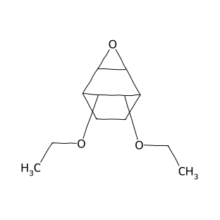 CCOC1C2CCC(C1OCC)C1OC21